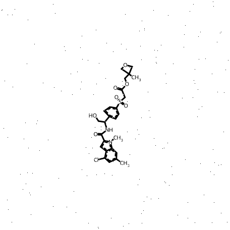 Cc1cc(Cl)c2cc(C(=O)NC(CO)c3ccc(S(=O)(=O)CC(=O)OCC4(C)COC4)cc3)n(C)c2c1